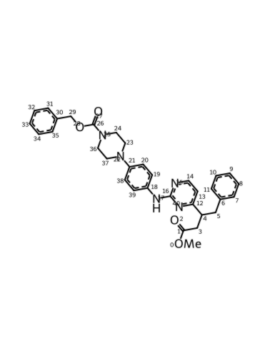 COC(=O)CC(Cc1ccccc1)c1ccnc(Nc2ccc(N3CCN(C(=O)OCc4ccccc4)CC3)cc2)n1